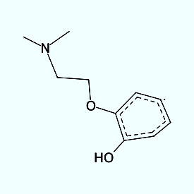 CN(C)CCOc1c[c]ccc1O